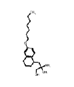 CCCCCCCOc1ccc2c(c1)CCCC2CC(C)(N)CO